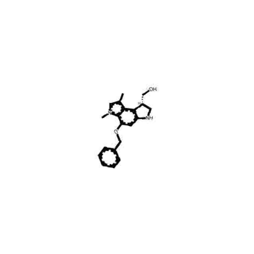 Cc1cn(C)c2c(OCc3ccccc3)cc3c(c12)[C@H](CO)CN3